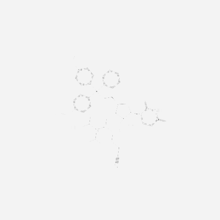 COc1ccc(C(OC[C@H]2O[C@@H](n3ccc(=O)[nH]c3=O)[C@@](O)(OC)[C@@H]2OP(OCCC#N)N(C(C)C)C(C)C)(c2ccccc2)c2ccc(OC)cc2)cc1